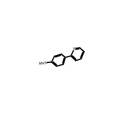 CSc1ccc(-c2c[c]ccn2)cc1